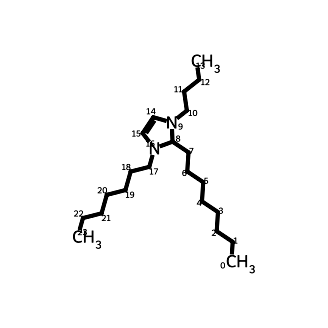 CCCCCCCCC1N(CCCC)C=CN1CCCCCCC